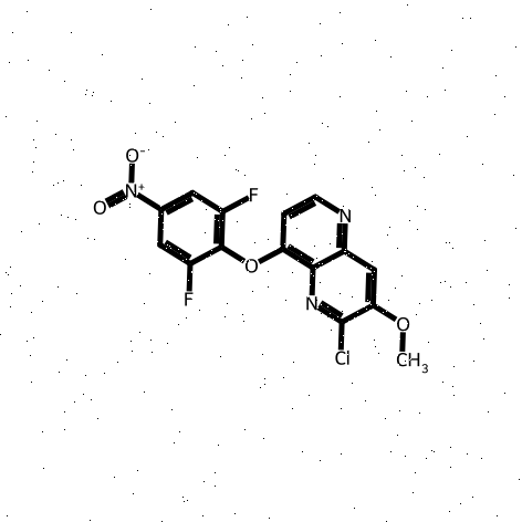 COc1cc2nccc(Oc3c(F)cc([N+](=O)[O-])cc3F)c2nc1Cl